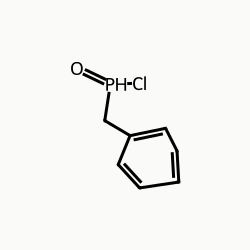 O=[PH](Cl)Cc1ccccc1